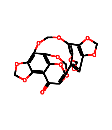 O=c1c2c3oc4c(c(c5c(c14)OCO5)OCOc1c4c(c5c-3c1OCO5)OCO4)OCO2